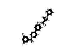 O=C(Nc1ccc(C2CCN(C(=O)c3cc(F)cc(F)c3)CC2)cc1)C1CN(c2cccnn2)C1